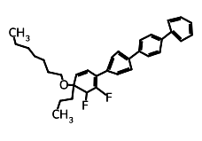 CCCCCCCOC1(CCC)C=CC(c2ccc(-c3ccc(-c4ccccc4)cc3)cc2)=C(F)C1F